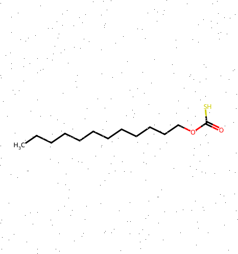 CCCCCCCCCCCCOC(=O)S